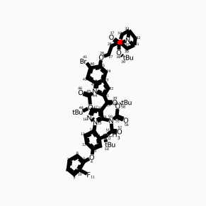 Cc1cc(Oc2ccccc2F)ccc1-n1ncc(C(=O)c2cc3cc(OCCN4CC5CC(C4)N5C(=O)OC(C)(C)C)c(Br)cc3n2C(=O)OC(C)(C)C)c1N(C(=O)OC(C)(C)C)C(=O)OC(C)(C)C